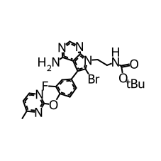 Cc1ccnc(Oc2ccc(-c3c(Br)n(CCNC(=O)OC(C)(C)C)c4ncnc(N)c34)cc2F)n1